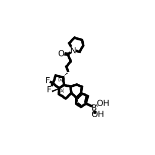 C[C@]12CCC3c4ccc(B(O)O)cc4CCC3C1[C@@H](CCCC(=O)N1CCCCC1)CC2(F)F